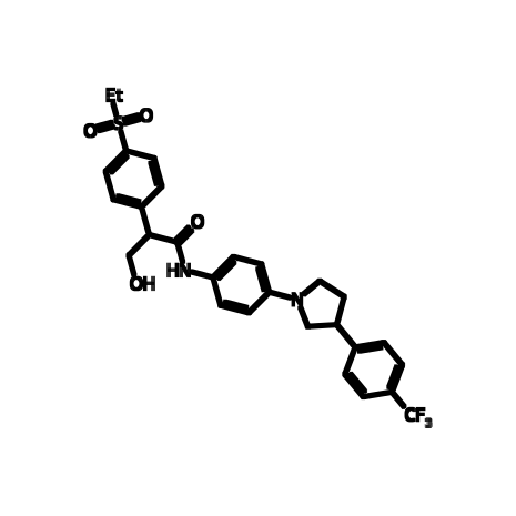 CCS(=O)(=O)c1ccc(C(CO)C(=O)Nc2ccc(N3CCC(c4ccc(C(F)(F)F)cc4)C3)cc2)cc1